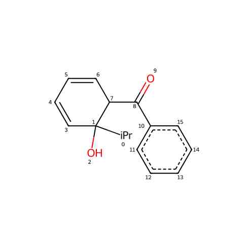 CC(C)C1(O)C=CC=CC1C(=O)c1ccccc1